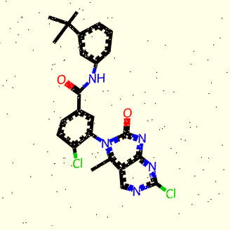 Cc1c2cnc(Cl)nc2nc(=O)n1-c1cc(C(=O)Nc2cccc(C(C)(C)C)c2)ccc1Cl